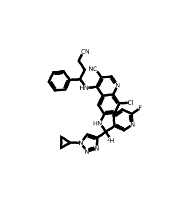 [2H]C(Nc1cc(Cl)c2ncc(C#N)c(NC(CCC#N)c3ccccc3)c2c1)(c1ccc(F)nc1)c1cn(C2CC2)nn1